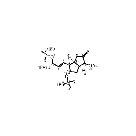 C=C1C[C@@H]2[C@H](/C=C/[C@H](CCCCC)O[Si](C)(C)C(C)(C)C)[C@H](O[Si](C)(C)C(C)(C)C)C[C@@H]2C1OC(C)=O